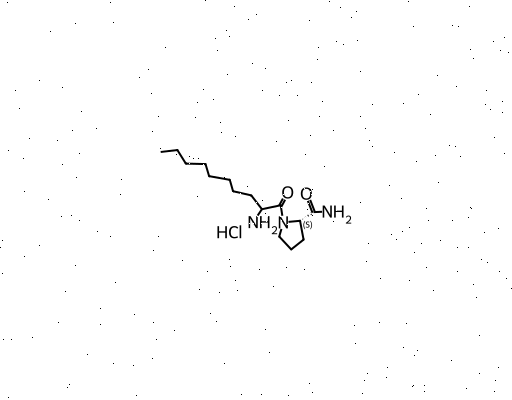 CCCCCCCCC(N)C(=O)N1CCC[C@H]1C(N)=O.Cl